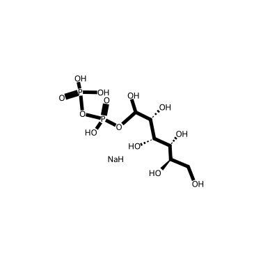 O=P(O)(O)OP(=O)(O)OC(O)[C@H](O)[C@@H](O)[C@H](O)[C@H](O)CO.[NaH]